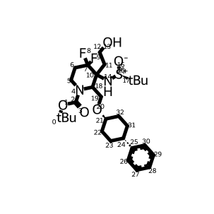 CC(C)(C)OC(=O)N1CCC(F)(F)C(CCO)(N[S@@+]([O-])C(C)(C)C)C1CO[C@H]1CC[C@@H](c2ccccc2)CC1